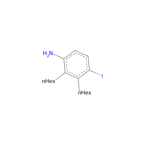 CCCCCCc1c(N)ccc(I)c1CCCCCC